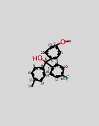 COc1ccc([C@@](O)(c2ccc(C)cc2)c2ccc(F)cc2)cc1